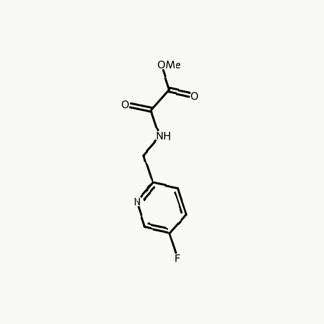 COC(=O)C(=O)NCc1ccc(F)cn1